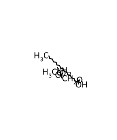 C=CC(=O)OC(C)N.CCCCCCCCCCCCCCCCCC(=O)O